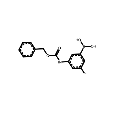 O=C(Nc1cc(F)cc(B(O)O)c1)OCc1ccccc1